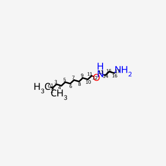 CC(C)CCCCCCCCCONCCCN